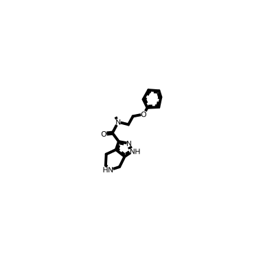 CN(CCOc1ccccc1)C(=O)c1n[nH]c2c1CCNC2